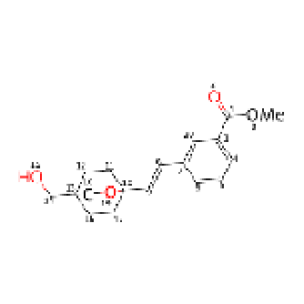 COC(=O)c1cccc(/C=C/C23CCC(CO)(CC2)CO3)c1